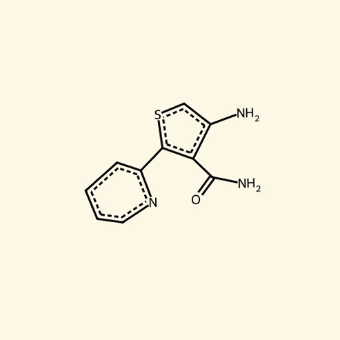 NC(=O)c1c(N)csc1-c1ccccn1